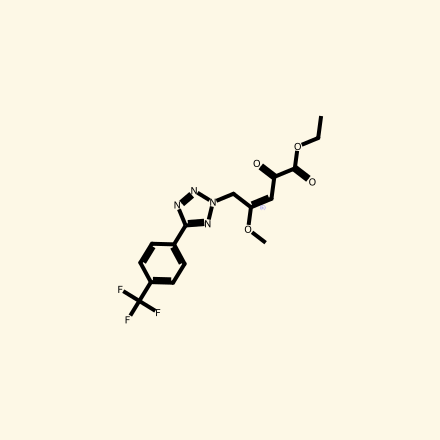 CCOC(=O)C(=O)/C=C(\Cn1nnc(-c2ccc(C(F)(F)F)cc2)n1)OC